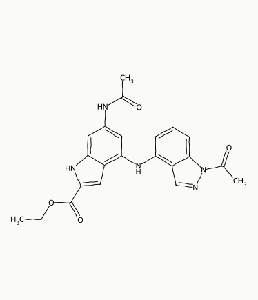 CCOC(=O)c1cc2c(Nc3cccc4c3cnn4C(C)=O)cc(NC(C)=O)cc2[nH]1